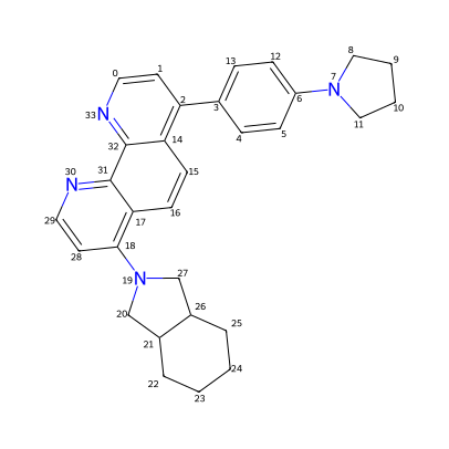 c1cc(-c2ccc(N3CCCC3)cc2)c2ccc3c(N4CC5CCCCC5C4)ccnc3c2n1